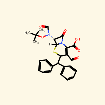 CC(C)(C)ON(C=O)[C@@H]1C(=O)N2C(C(=O)O)=C(C=O)C(C(c3ccccc3)c3ccccc3)S[C@H]12